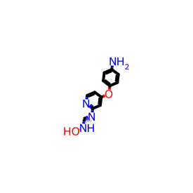 Nc1ccc(Oc2ccnc(/N=C/NO)c2)cc1